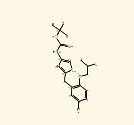 CC(C)COc1ccc(Cl)cc1Cc1nc(NC(=O)OC(C)(C)C)cs1